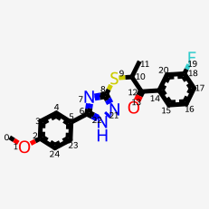 COc1ccc(-c2nc(SC(C)C(=O)c3cccc(F)c3)n[nH]2)cc1